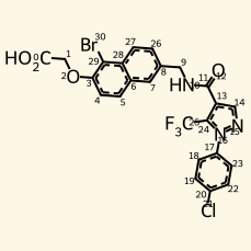 O=C(O)COc1ccc2cc(CNC(=O)c3cnn(-c4ccc(Cl)cc4)c3C(F)(F)F)ccc2c1Br